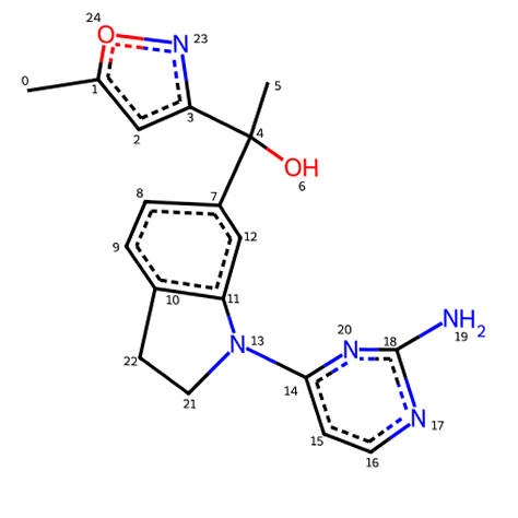 Cc1cc(C(C)(O)c2ccc3c(c2)N(c2ccnc(N)n2)CC3)no1